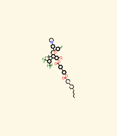 CCCCC[C@H]1CC[C@H]([C@H]2CC[C@H](C(=O)Oc3ccc(-c4ccc(C(=O)Oc5cc6c7c(c8c(c6cc5OC)OC(c5ccc(F)cc5)(c5ccc(N6CCCCC6)cc5)C=C8)C(C)(C)c5c-7cc(C(F)(F)F)cc5C(F)(F)F)cc4)cc3)CC2)CC1